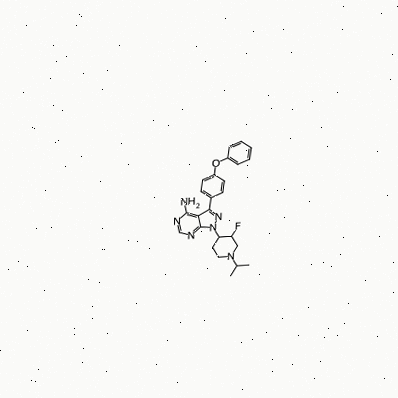 CC(C)N1CCC(n2nc(-c3ccc(Oc4ccccc4)cc3)c3c(N)ncnc32)C(F)C1